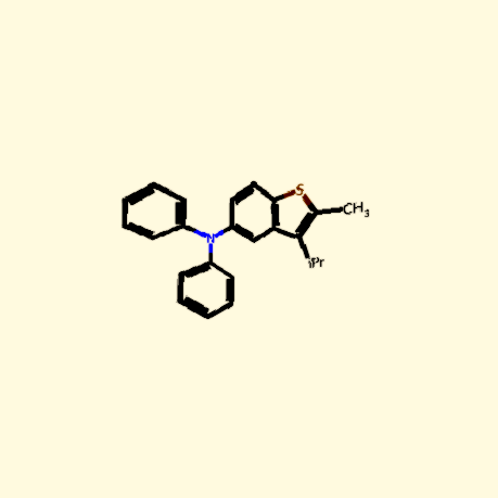 Cc1sc2ccc(N(c3ccccc3)c3ccccc3)cc2c1C(C)C